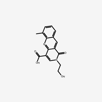 Cc1cccc2cc3c(=O)n(CCO)cc(C(=O)O)c3nc12